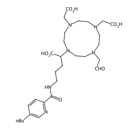 CCCCc1ccc(C(=O)NCCCC(C(=O)O)N2CCN(CC=O)CCN(CC(=O)O)CCN(CC(=O)O)CC2)nc1